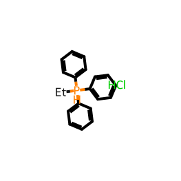 CC[PH](c1ccccc1)(c1ccccc1)c1ccccc1.Cl